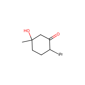 CC(C)C1CCC(C)(O)CC1=O